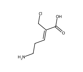 NCCC=C(CCl)C(=O)O